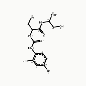 CC(C)C[C@H](NC(=O)Nc1ccc(Br)cc1F)C(=O)NC(C=O)CO